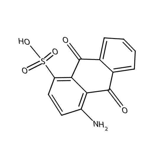 Nc1ccc(S(=O)(=O)O)c2c1C(=O)c1ccccc1C2=O